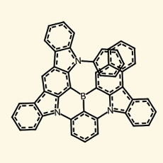 c1ccc(-n2c3ccccc3c3cc4c5ccccc5n5c4c(c32)B2c3c-5cccc3-n3c4ccccc4c4c5ccccc5cc2c43)cc1